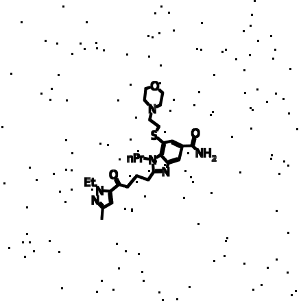 CCCn1c(CCCC(=O)c2cc(C)nn2CC)nc2cc(C(N)=O)cc(SCCN3CCOCC3)c21